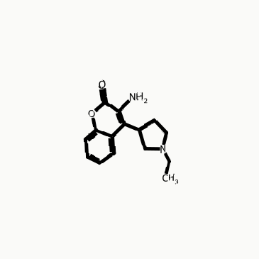 CCN1CCC(c2c(N)c(=O)oc3ccccc23)C1